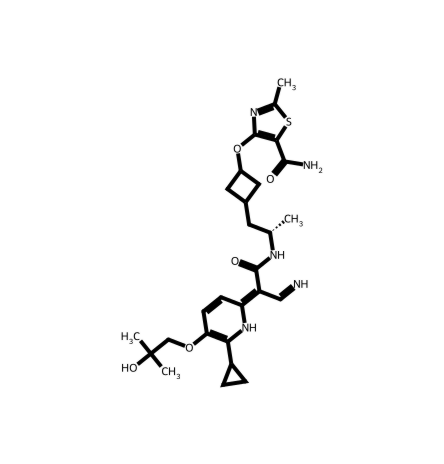 Cc1nc(OC2CC(C[C@H](C)NC(=O)/C(C=N)=C3\C=CC(OCC(C)(C)O)=C(C4CC4)N3)C2)c(C(N)=O)s1